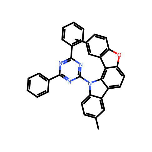 Cc1ccc2oc3ccc4c5cc(C)ccc5n(-c5nc(-c6ccccc6)nc(-c6ccccc6)n5)c4c3c2c1